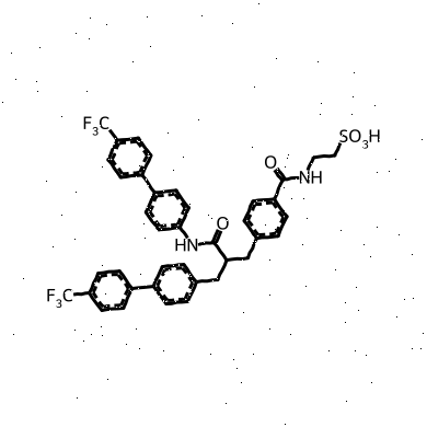 O=C(NCCS(=O)(=O)O)c1ccc(CC(Cc2ccc(-c3ccc(C(F)(F)F)cc3)cc2)C(=O)Nc2ccc(-c3ccc(C(F)(F)F)cc3)cc2)cc1